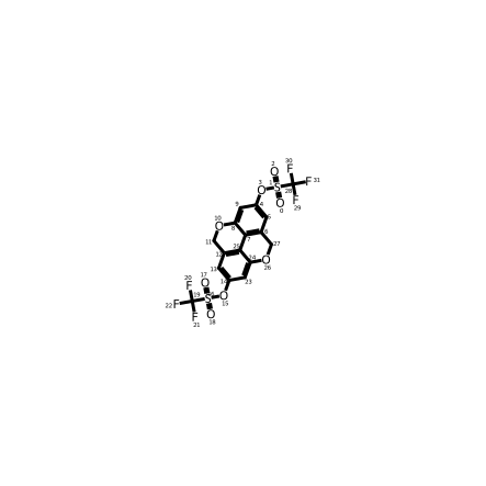 O=S(=O)(Oc1cc2c3c(c1)OCc1cc(OS(=O)(=O)C(F)(F)F)cc(c1-3)OC2)C(F)(F)F